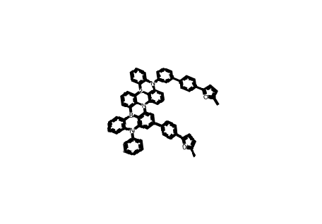 Cc1ccc(-c2ccc(-c3cccc(N4c5ccccc5B5c6cccc7c6N(c6cccc4c65)c4cc(-c5ccc(-c6ccc(C)o6)cc5)cc5c4B7c4ccccc4N5c4ccccc4)c3)cc2)o1